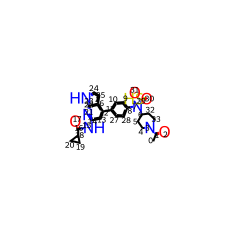 CC(=O)N1CCC(N(c2ccc(-c3cc(NC(=O)C4CC4)nc4[nH]ccc34)cc2)[SH](=O)=O)CC1